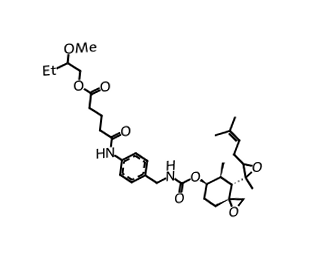 CCC(COC(=O)CCCC(=O)Nc1ccc(CNC(=O)O[C@@H]2CC[C@]3(CO3)[C@@H](C3(C)OC3CC=C(C)C)[C@@H]2C)cc1)OC